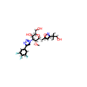 CO[C@@H]1[C@@H](n2cc(-c3cc(F)c(F)c(F)c3)nn2)[C@@H](O)[C@@H](CO)O[C@@H]1Cc1cc(C(C)(C)CO)no1